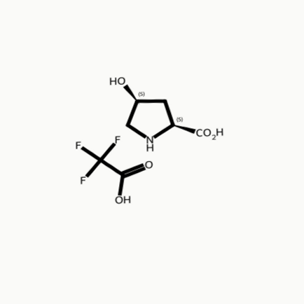 O=C(O)C(F)(F)F.O=C(O)[C@@H]1C[C@H](O)CN1